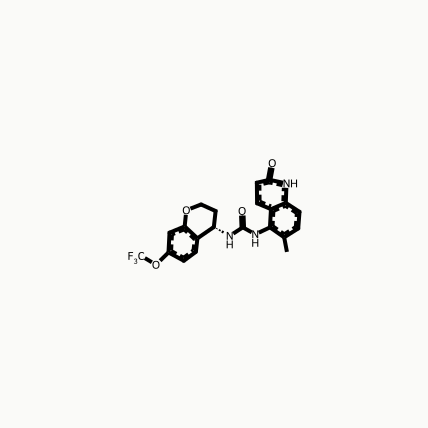 Cc1ccc2[nH]c(=O)ccc2c1NC(=O)N[C@H]1CCOc2cc(OC(F)(F)F)ccc21